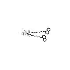 O=C(CCCCCCCCc1cccc2ccccc12)N[C@@H]1[C@@H](O)O[C@H](CO)[C@@H](OS(=O)(=O)O)[C@@]1(O)C(=O)CCCCCCCCc1cccc2ccccc12